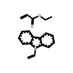 C=CC(=O)OCC.C=Cn1c2ccccc2c2ccccc21